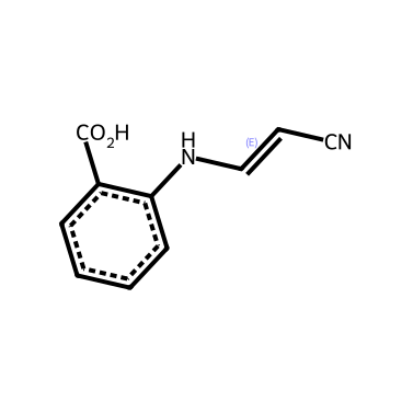 N#C/C=C/Nc1ccccc1C(=O)O